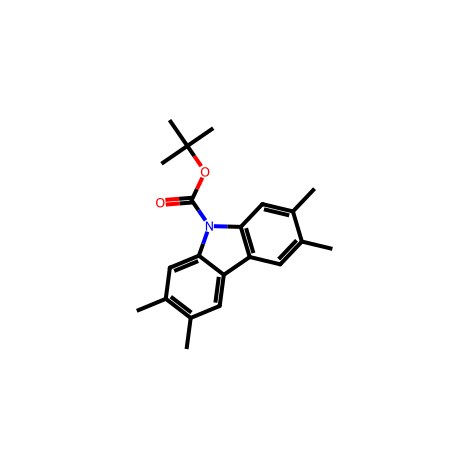 Cc1cc2c3cc(C)c(C)cc3n(C(=O)OC(C)(C)C)c2cc1C